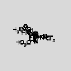 Cn1cc(C(=O)Nc2cc(F)c(CC(=O)N3C[C@@H](N4CCN(CC(F)(F)F)CC4)C[C@H]3c3ncc(CCC(=O)O)s3)cc2Cl)c2ccccc21